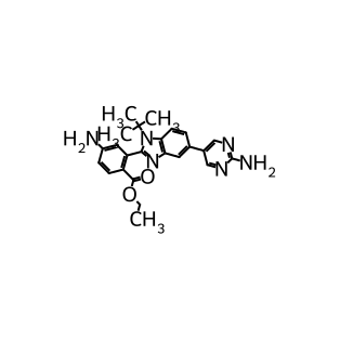 CCOC(=O)c1ccc(N)cc1-c1nc2cc(-c3cnc(N)nc3)ccc2n1C(C)(C)C